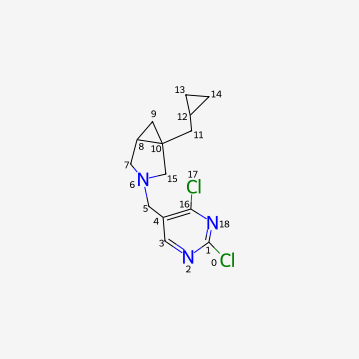 Clc1ncc(CN2CC3CC3(CC3CC3)C2)c(Cl)n1